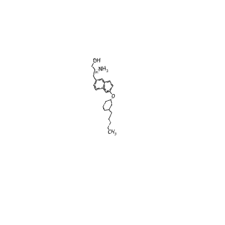 CCCCCC1CCCC(Oc2ccc3cc(C[C@@H](N)CO)ccc3c2)C1